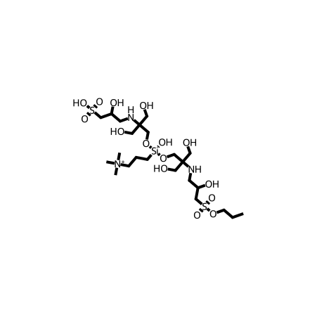 CCCOS(=O)(=O)CC(O)CNC(CO)(CO)CO[Si](O)(CCC[N+](C)(C)C)OCC(CO)(CO)NCC(O)CS(=O)(=O)O